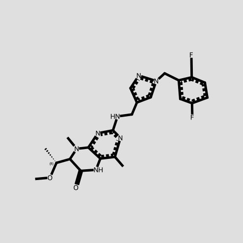 CO[C@H](C)C1C(=O)Nc2c(C)nc(NCc3cnn(Cc4cc(F)ccc4F)c3)nc2N1C